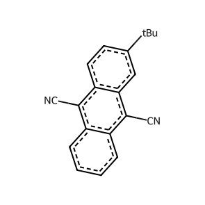 CC(C)(C)c1ccc2c(C#N)c3ccccc3c(C#N)c2c1